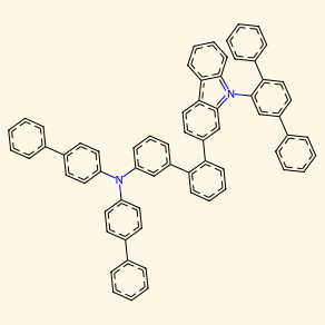 c1ccc(-c2ccc(N(c3ccc(-c4ccccc4)cc3)c3cccc(-c4ccccc4-c4ccc5c6ccccc6n(-c6cc(-c7ccccc7)ccc6-c6ccccc6)c5c4)c3)cc2)cc1